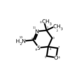 CC1(C)CC2(COC2)SC(N)=N1